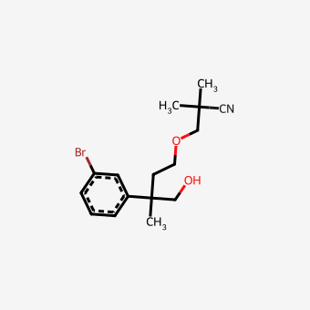 CC(C)(C#N)COCCC(C)(CO)c1cccc(Br)c1